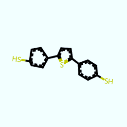 Sc1ccc(-c2ccc(-c3ccc(S)cc3)s2)cc1